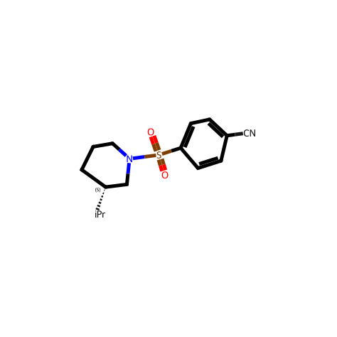 CC(C)[C@@H]1CCCN(S(=O)(=O)c2ccc(C#N)cc2)C1